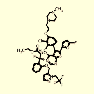 CCOC(=O)[C@H](Oc1ncnc2sc(-c3ccc(F)o3)c(-c3ccc(OCCN4CCN(C)CC4)c(Cl)c3C)c12)C(F)(F)c1ccccc1OCc1ccnn1CC(F)(F)F